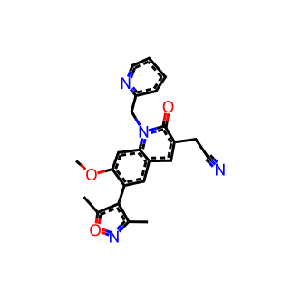 COc1cc2c(cc1-c1c(C)noc1C)cc(CC#N)c(=O)n2Cc1ccccn1